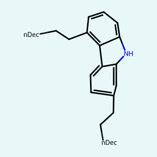 CCCCCCCCCCCCc1ccc2c(c1)[nH]c1cccc(CCCCCCCCCCCC)c12